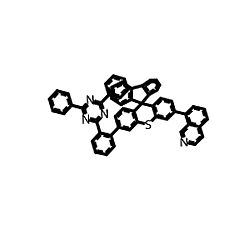 c1ccc(-c2nc(-c3ccccc3)nc(-c3ccccc3-c3ccc4c(c3)Sc3cc(-c5cccc6ccncc56)ccc3C43c4ccccc4-c4ccccc43)n2)cc1